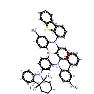 Cc1cc2c3c(c1)N(c1cccc4c1sc1ccccc14)c1cc(C(C)(C)C)ccc1B3c1ccc(N3c4ccccc4C4(C)CCCCC34C)cc1N2c1ccc(C(C)(C)C)cc1-c1ccccc1